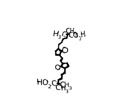 CC(C)(CCCCC1CCC(C=CC2CCC(CCCCC(C)(C)C(=O)O)C2=O)C1=O)C(=O)O